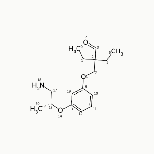 CCC(C=O)(CC)COc1cccc(O[C@H](C)CN)c1